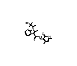 Cc1cc(C)c(CNC(=O)c2c(C)n(C(C)C(C)(C)O)c3ncccc23)c(=O)[nH]1